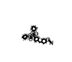 N#COC1CCC(CC2CCC(N(C(=O)Oc3ccccc3)C(=O)Oc3ccccc3)CC2)CC1